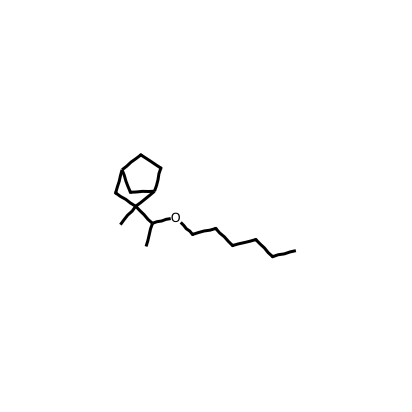 CCCCCCOC(C)C1(C)CC2CCC1C2